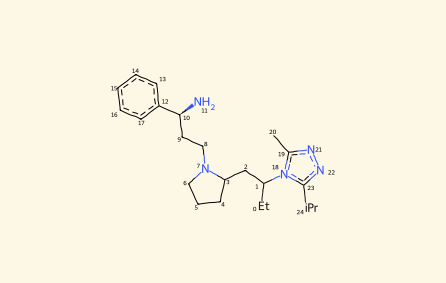 CCC(CC1CCCN1CC[C@H](N)c1ccccc1)n1c(C)nnc1C(C)C